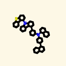 c1cc(-c2cccc3c2c2ccccc2n3-c2cccc3sc4ccccc4c23)cc(N(c2ccc(-c3cccc4ccccc34)cc2)c2cccc3ccccc23)c1